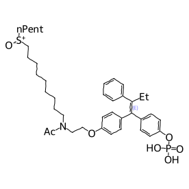 CCCCC[S+]([O-])CCCCCCCCCN(CCOc1ccc(/C(=C(/CC)c2ccccc2)c2ccc(OP(=O)(O)O)cc2)cc1)C(C)=O